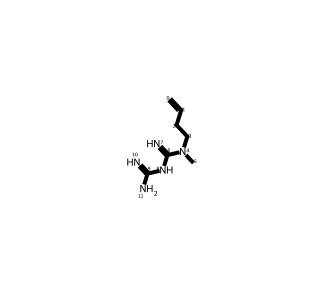 C=CCCN(C)C(=N)NC(=N)N